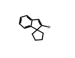 BrC1=Cc2ccccc2C12CCCC2